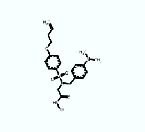 C=CCCOc1ccc(S(=O)(=O)N(CC(=O)NO)Cc2ccc(N(C)C)cc2)cc1